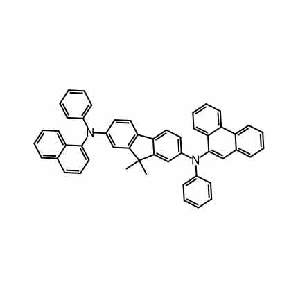 CC1(C)c2cc(N(c3ccccc3)c3cccc4ccccc34)ccc2-c2ccc(N(c3ccccc3)c3cc4ccccc4c4ccccc34)cc21